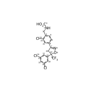 O=C(O)NCc1ccc(C2=NOC(c3cc(Cl)cc(Cl)c3)(C(F)(F)F)C2)cc1Cl